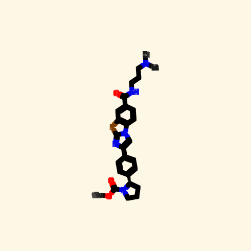 CCN(CC)CCCNC(=O)c1ccc2c(c1)sc1nc(-c3ccc([C@@H]4CCCN4C(=O)OC(C)(C)C)cc3)cn12